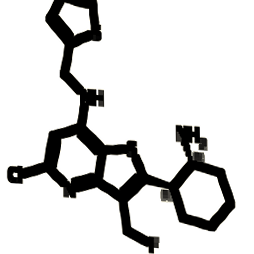 N[C@@H]1CCCC[C@H]1c1sc2c(NCc3cccs3)cc(Cl)nc2c1CF